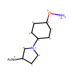 CC(=O)NC1CCN(C2CCC(ON)CC2)C1